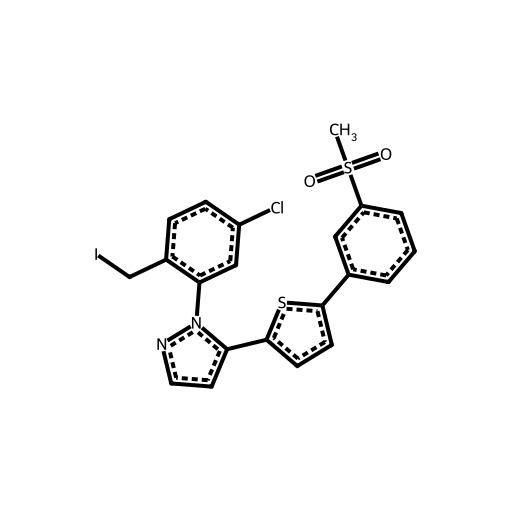 CS(=O)(=O)c1cccc(-c2ccc(-c3ccnn3-c3cc(Cl)ccc3CI)s2)c1